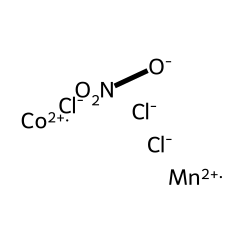 O=[N+]([O-])[O-].[Cl-].[Cl-].[Cl-].[Co+2].[Mn+2]